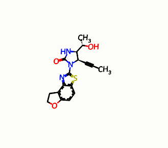 CC#C[C@@H]1[C@H]([C@H](C)O)NC(=O)N1c1nc2c3c(ccc2s1)OCC3